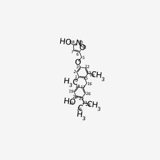 Cc1cc(OCc2cc(O)no2)cc(C)c1Cc1ccc(O)c(C(C)C)c1